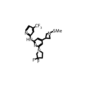 CSN1CC(c2cc(Nc3cc(C(F)(F)F)ccn3)nc(N3CCC(F)(F)C3)c2)C1